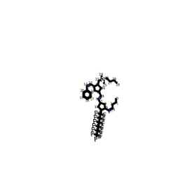 CCC/C=C\C1CC(/C=C/C2CC(/C=C\c3ccccc3)C(C[N+](C)(C)CCCC)C2)CC1C(F)(F)C(F)(F)C(F)(F)C(F)(F)C(F)(F)C(F)(F)F